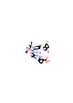 C=C[C@@H]1C[C@@]1(C(=O)NS(=O)(=O)C1CC1)N1C[C@H](Oc2ncc(OC)c3ccc(Cl)cc23)C[C@H]1C(=O)NC(=O)[C@@H](Nc1cccc(C(=O)O)c1)C(C)(C)C